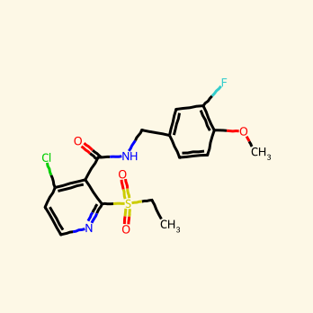 CCS(=O)(=O)c1nccc(Cl)c1C(=O)NCc1ccc(OC)c(F)c1